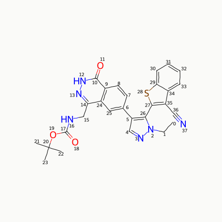 CCn1ncc(-c2ccc3c(=O)[nH]nc(CNC(=O)OC(C)(C)C)c3c2)c1-c1sc2ccccc2c1C#N